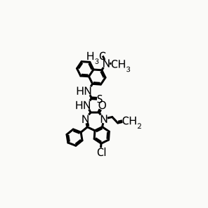 C=CCN1C(=O)C(NC(=S)Nc2ccc(N(C)C)c3ccccc23)N=C(c2ccccc2)c2cc(Cl)ccc21